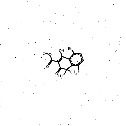 CCc1ccc(F)c2c1C(O)=C(C(=O)OCl)C(=O)C2(C)C